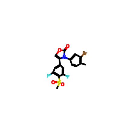 Cc1ccc(-n2c(-c3cc(F)c(S(C)(=O)=O)c(F)c3)coc2=O)cc1Br